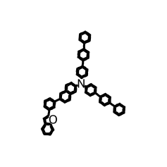 c1ccc(-c2ccc(-c3ccc(N(c4ccc(-c5ccc(-c6ccccc6)cc5)cc4)c4ccc5cc(-c6cccc(-c7cc8ccccc8o7)c6)ccc5c4)cc3)cc2)cc1